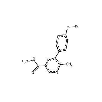 CCOc1ccc(-c2nc(C(=O)NN)cnc2C)cc1